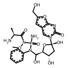 CON(C(=O)[C@H](C)N)P(N)(=O)N(c1ccccc1)C(O)[C@H]1O[C@](O)(n2cc3cc(CO)oc3nc2=O)C[C@@H]1O